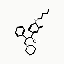 C=C[C@H](/C=C\C(=C/C)C(O)C(CN1CCCCC1)c1ccccc1)OCCCC